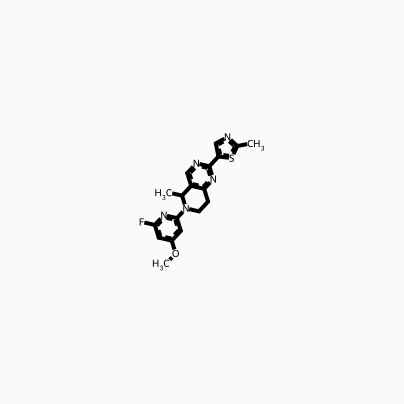 COc1cc(F)nc(N2CCc3nc(-c4cnc(C)s4)ncc3C2C)c1